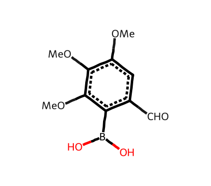 COc1cc(C=O)c(B(O)O)c(OC)c1OC